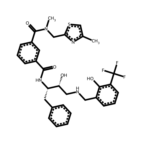 Cc1csc(CN(C)C(=O)c2cccc(C(=O)N[C@@H](Cc3ccccc3)[C@H](O)CNCc3cccc(C(F)(F)F)c3O)c2)n1